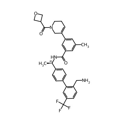 Cc1cc(C(=O)N[C@H](C)c2ccc(-c3cc(C(F)(F)F)ccc3CN)cc2)cc(C2=CCCN(C(=O)C3COC3)C2)c1